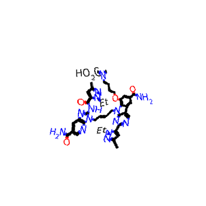 CCn1nc(C)cc1C(=O)Nc1nc2cc(C(N)=O)cnc2n1CC=CCn1c2nc(-c3cc(C)nn3CC)ncc2c2cc(C(N)=O)cc(OCCCCN(C)C(=O)O)c21